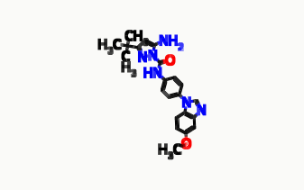 COc1ccc2c(c1)ncn2-c1ccc(NC(=O)n2nc(C(C)(C)C)cc2N)cc1